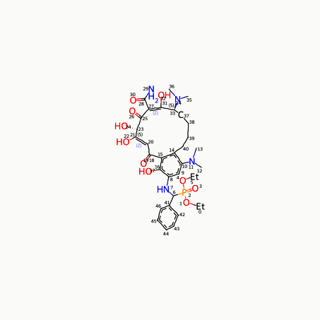 CCOP(=O)(OCC)C(Nc1cc(N(C)C)c2c(c1O)C(=O)/C=C(\O)[C@H](O)C(=O)/C(C(N)=O)=C(/O)[C@@H](N(C)C)CCCC2)c1ccccc1